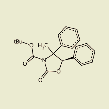 CC(C)(C)OC(=O)N1C(=O)O[C@H](c2ccccc2)C1(C)c1ccccc1